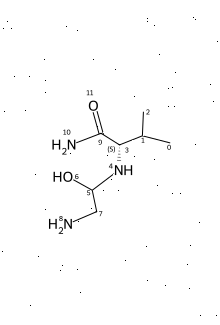 CC(C)[C@H](NC(O)CN)C(N)=O